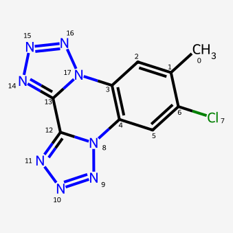 Cc1cc2c(cc1Cl)n1nnnc1c1nnnn21